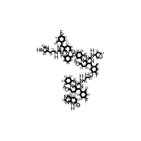 Cc1cc(F)ccc1-c1nc(NC2CCOC2)nc2c1ccc(=O)n2-c1c(F)cccc1F.Cc1cc(F)ccc1-c1nc(NCCCO)nc2c1ccc(=O)n2-c1c(F)cccc1F.Cc1cc(F)ccc1-c1nc(NCCc2c[nH]cn2)nc2c1ccc(=O)n2-c1c(F)cccc1F.O=c1ccc2cncnc2[nH]1